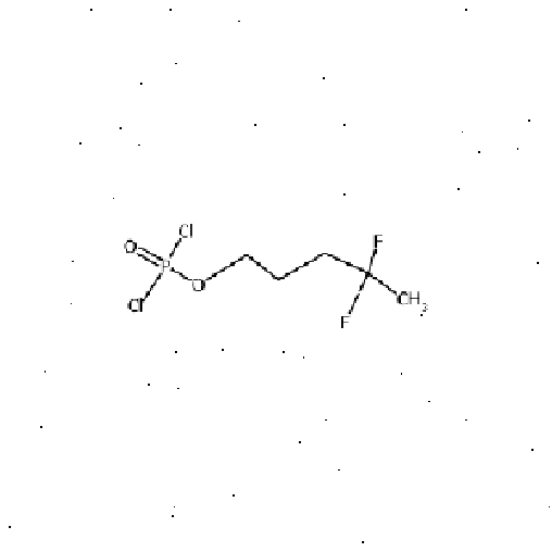 CC(F)(F)CCCOP(=O)(Cl)Cl